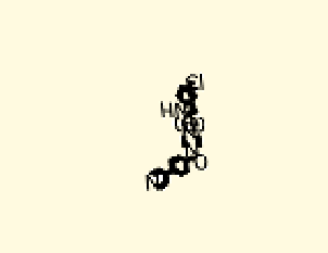 O=C(c1ccc(-c2ccncc2)cc1)N1CCN(S(=O)(=O)c2cc3cc(Cl)ccc3[nH]2)CC1